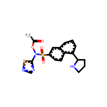 O=C(ON(c1ncns1)S(=O)(=O)c1ccc2c(C3CCCN3)cccc2c1)C(F)(F)F